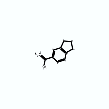 C=C(O)c1ccc2c(c1)CCC2